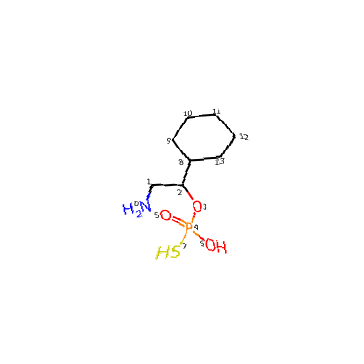 NCC(OP(=O)(O)S)C1CCCCC1